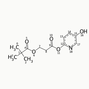 CC(C)(C)C(=O)OCCC(=O)Oc1ccc(O)cn1